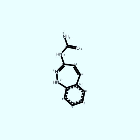 NC(=O)NC1=NNc2ccccc2C=C1